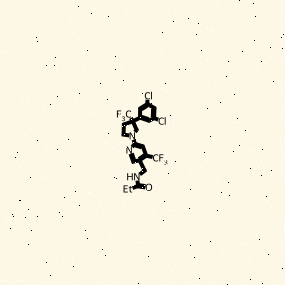 CCC(=O)NCc1cnc(N2CCC(c3cc(Cl)cc(Cl)c3)(C(F)(F)F)C2)cc1C(F)(F)F